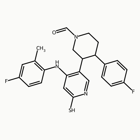 Cc1cc(F)ccc1Nc1cc(S)ncc1C1CN(C=O)CCC1c1ccc(F)cc1